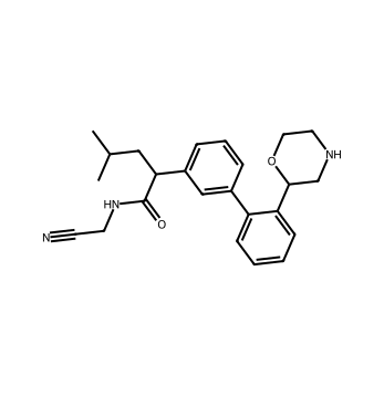 CC(C)CC(C(=O)NCC#N)c1cccc(-c2ccccc2C2CNCCO2)c1